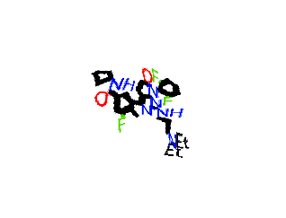 CCN(CC)CCCNc1nc(-c2cc(C(=O)NC3CCCC3)cc(F)c2C)c2ccc(=O)n(-c3c(F)cccc3F)c2n1